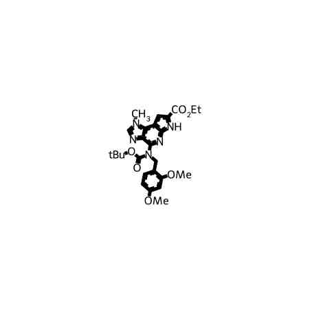 CCOC(=O)c1cc2c(nc(N(Cc3ccc(OC)cc3OC)C(=O)OC(C)(C)C)c3ncn(C)c32)[nH]1